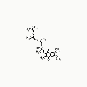 COc1cc2c(cc1OC)C(=O)C(CCC(C)(O)CCC=C(C)CCC=C(C)CCC=C(C)C)=C(C)C2=O